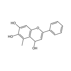 Cc1c(O)c(O)cc2c1C(O)C=C(c1ccccc1)O2